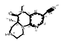 CN1C(=O)[C@@H]2CNCCN2c2ncc(C#N)cc21